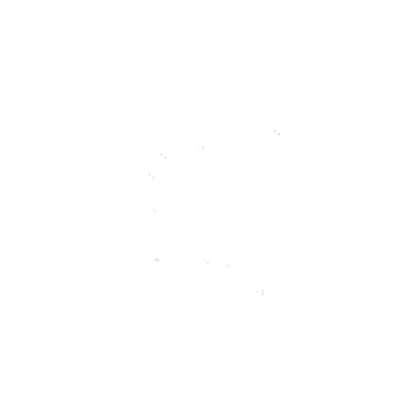 CC(=O)Nc1ccc(C[C@@H]2CC[C@H](c3nnc(NC(=O)Cc4ccccn4)s3)C2)nn1